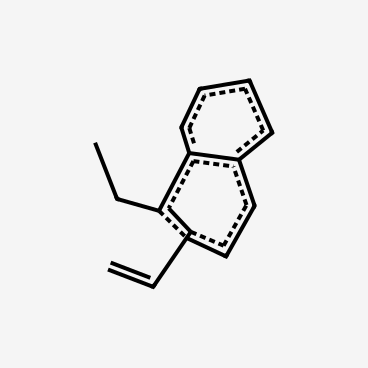 C=Cc1ccc2ccccc2c1CC